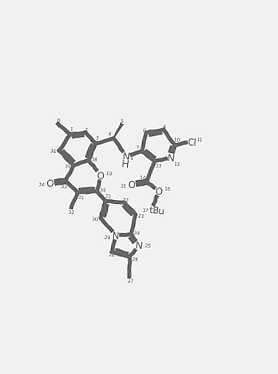 Cc1cc([C@@H](C)Nc2ccc(Cl)nc2C(=O)OC(C)(C)C)c2oc(-c3ccc4nc(C)cn4c3)c(C)c(=O)c2c1